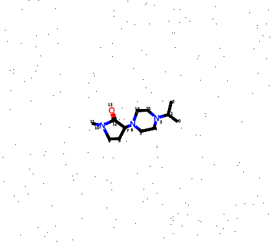 CC(C)N1CCN(C2CCN(C)C2=O)CC1